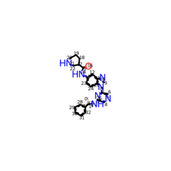 C[C@H](Nc1cncc(-n2cnc3cc(NC(=O)C4CCCNC4)ccc32)n1)c1ccccc1